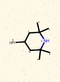 C[CH]CC1CC(C)(C)NC(C)(C)C1